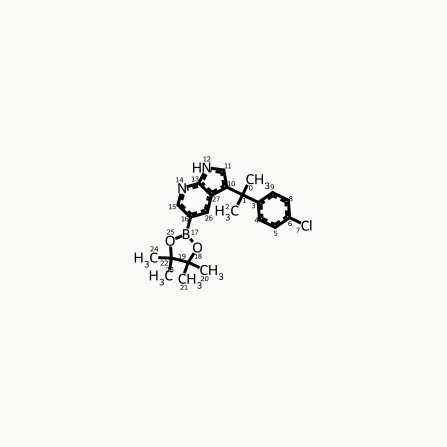 CC(C)(c1ccc(Cl)cc1)c1c[nH]c2ncc(B3OC(C)(C)C(C)(C)O3)cc12